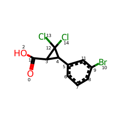 O=C(O)C1C(c2cccc(Br)c2)C1(Cl)Cl